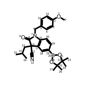 COc1ccc(CN2C(=O)C(C#N)(CC(C)C)c3cc(B4OC(C)(C)C(C)(C)O4)ccc32)cc1